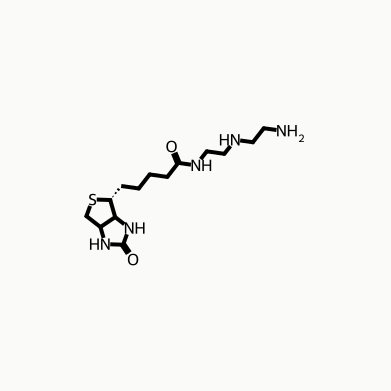 NCCNCCNC(=O)CCCC[C@H]1SCC2NC(=O)NC21